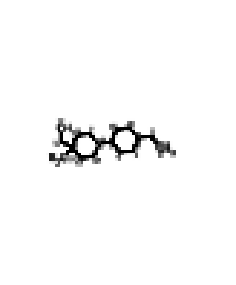 CCN1CCC(N2CCC(C)(CC)CC2)CC1